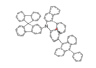 c1ccc(-c2c(N(c3ccc(-c4c5ccccc5c(-c5ccccc5)c5ccccc45)cc3)c3ccc4c(c3)C3(c5ccccc5-c5ccccc53)c3ccccc3-4)ccc3ccccc23)cc1